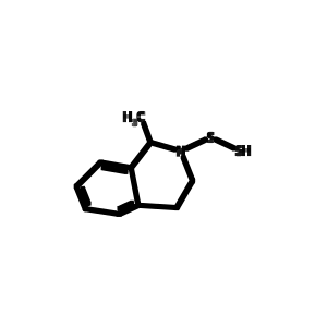 CC1c2ccccc2CCN1SS